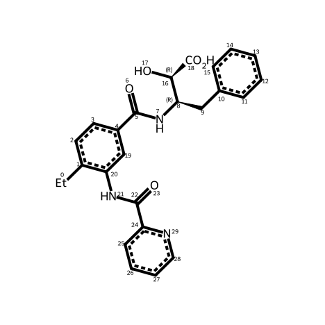 CCc1ccc(C(=O)N[C@H](Cc2ccccc2)[C@@H](O)C(=O)O)cc1NC(=O)c1ccccn1